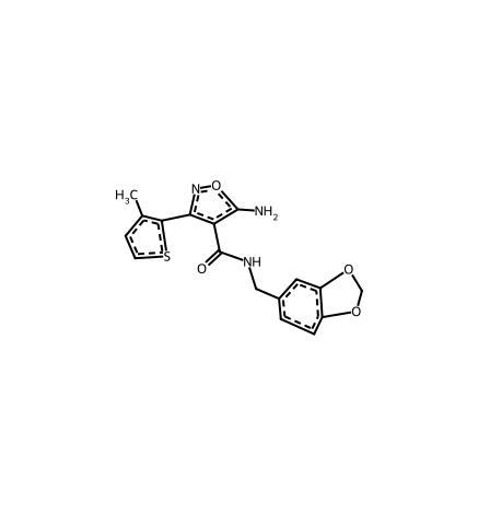 Cc1ccsc1-c1noc(N)c1C(=O)NCc1ccc2c(c1)OCO2